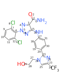 NC(=O)c1nn(-c2c(Cl)cccc2Cl)nc1Nc1ccc(-c2nc(C(F)(F)F)cn2CCO)cc1